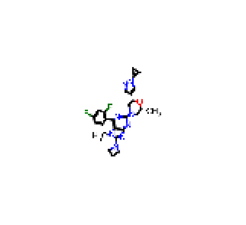 C[C@@H]1CN(c2nc(-c3ccc(F)cc3F)c3c(n2)nc(N2CCC2)n3C)C[C@H](c2cnn(C3CC3)c2)O1